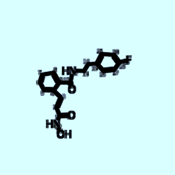 O=C(C=Cc1ccccc1C(=O)NCCc1ccc(F)cc1)NO